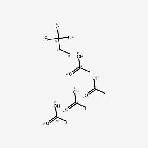 CC(=O)O.CC(=O)O.CC(=O)O.CC(=O)O.[CH2]CC(Cl)(Cl)Cl